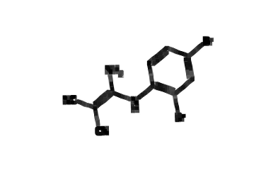 N#CC(C#N)=C(N)Nc1ccc(Br)cc1Br